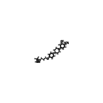 CC(C)(C)[Si](C)(C)OCCCOc1ccc(C2CCN(c3ccc(C#N)c(C(F)(F)F)c3)CC2)cc1